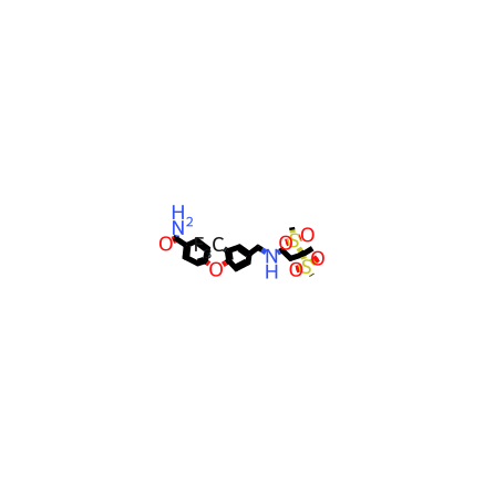 CC(CCNCc1ccc(Oc2ccc(C(N)=O)cc2)c(C(F)(F)F)c1)(S(C)(=O)=O)S(C)(=O)=O